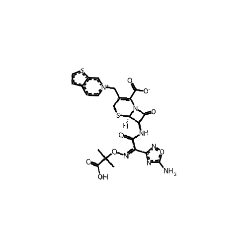 CC(C)(O/N=C(\C(=O)NC1C(=O)N2C(C(=O)[O-])=C(C[n+]3ccc4ccsc4c3)CS[C@H]12)c1noc(N)n1)C(=O)O